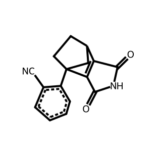 N#Cc1ccccc1C12CCC(C1)C1=C2C(=O)NC1=O